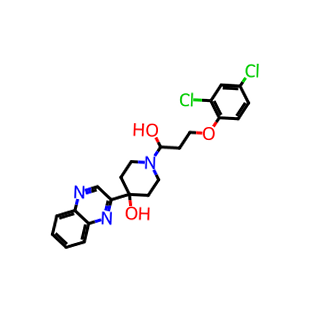 OC(CCOc1ccc(Cl)cc1Cl)N1CCC(O)(c2cnc3ccccc3n2)CC1